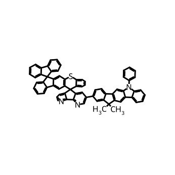 CC1(C)c2cc(-c3cnc4c(c3)C3(c5ccccc5Sc5cc6c(cc53)-c3ccccc3C63c5ccccc5-c5ccccc53)c3cccnc3-4)ccc2-c2cc3c(cc21)c1ccccc1n3-c1ccccc1